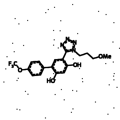 COCCCn1nnnc1-c1cc(-c2ccc(OC(F)(F)F)cc2)c(O)cc1O